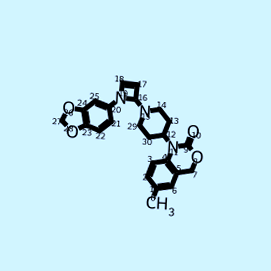 Cc1ccc2c(c1)COC(=O)N2C1CCN(C2C=CN2c2ccc3c(c2)OCO3)CC1